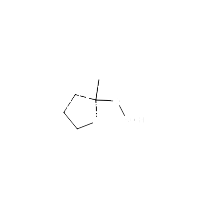 CC1(OS(=O)(=O)O)CCCO1